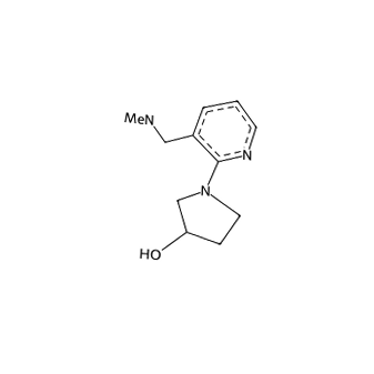 CNCc1cccnc1N1CCC(O)C1